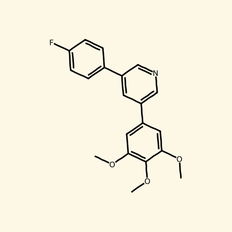 COc1cc(-c2cncc(-c3ccc(F)cc3)c2)cc(OC)c1OC